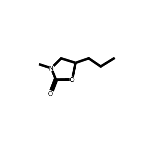 CCCC1CN(C)C(=O)O1